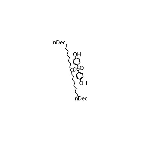 CCCCCCCCCCCCCCCCCCOCCCCCCCCCCCCCCCCCC.O=S(=O)(c1ccc(O)cc1)c1ccc(O)cc1